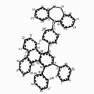 c1ccc(-c2cc(-c3ccc(N4c5ccccc5CCc5ccccc54)cc3)c3c4ccccc4c4ccccc4c3c2-c2ccccc2)cc1